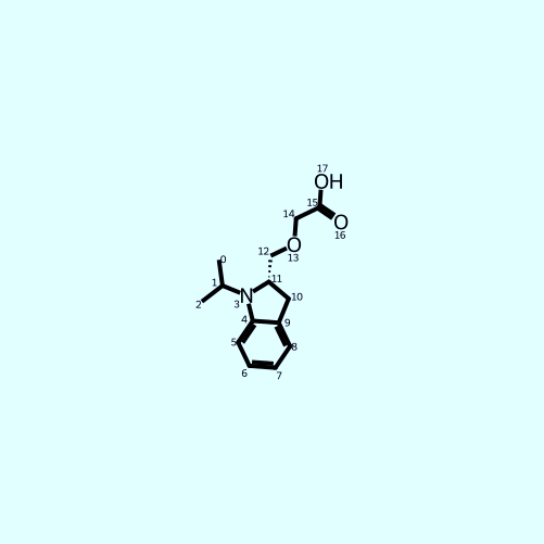 CC(C)N1c2ccccc2C[C@H]1COCC(=O)O